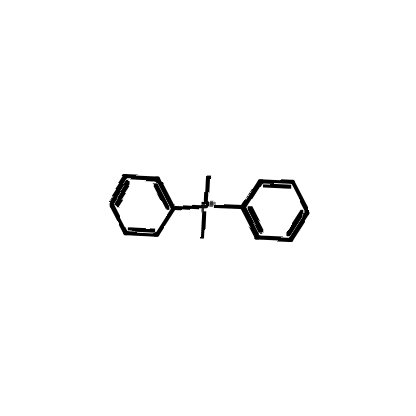 C[P+](C)(c1ccccc1)c1ccccc1